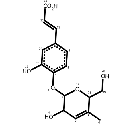 CC1=CC(O)C(Oc2ccc(/C=C/C(=O)O)cc2O)OC1CO